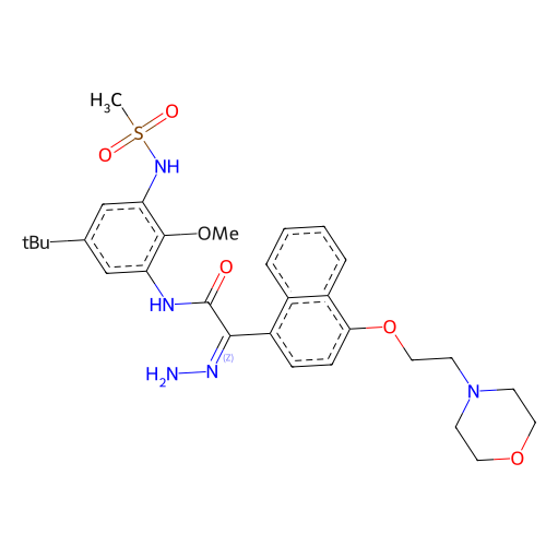 COc1c(NC(=O)/C(=N\N)c2ccc(OCCN3CCOCC3)c3ccccc23)cc(C(C)(C)C)cc1NS(C)(=O)=O